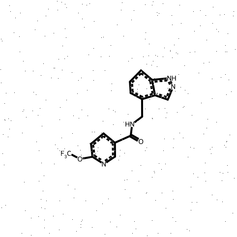 O=C(NCc1cccc2[nH]ncc12)c1ccc(OC(F)(F)F)nc1